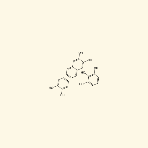 Oc1cc2ccccc2cc1O.Oc1cccc(O)c1O.Oc1ccccc1O